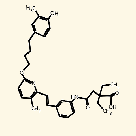 CCC(CC)(CC(=O)Nc1cccc(C=Cc2nc(OCCCCc3ccc(O)c(C)c3)ccc2C)c1)C(=O)O